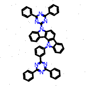 c1ccc(-c2nc(-c3ccccc3)nc(-c3cccc(-n4c5ccccc5c5ccc6c(c7ccccc7n6-c6nc(-c7ccccc7)nc(-c7ccccc7)n6)c54)c3)n2)cc1